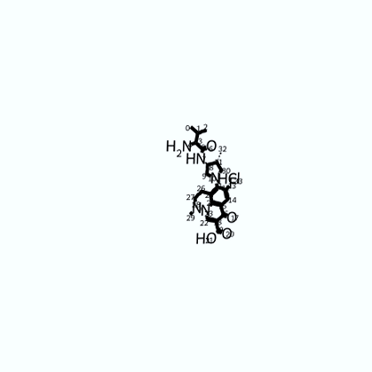 CC(C)C(N)C(=O)N[C@H]1CN(c2c(F)cc3c(=O)c(C(=O)O)cn4c3c2CCN4C)C[C@H]1C.Cl